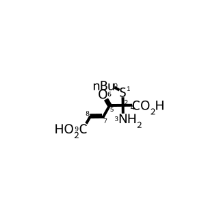 CCCCSC(N)(C(=O)O)C(=O)C=CC(=O)O